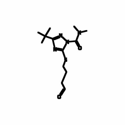 CN(C)C(=O)n1nc(C(C)(C)C)nc1SCCCC=O